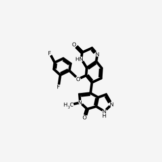 Cn1cc(-c2ccc3ncc(=O)[nH]c3c2Oc2ccc(F)cc2F)c2cn[nH]c2c1=O